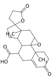 CC12CCC(=O)C=C1CC(C(=O)O)C1C3CCC4(CCC(=O)O4)C3(C)CC3OC312